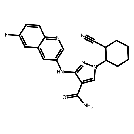 N#CC1CCCCC1n1cc(C(N)=O)c(Nc2cnc3ccc(F)cc3c2)n1